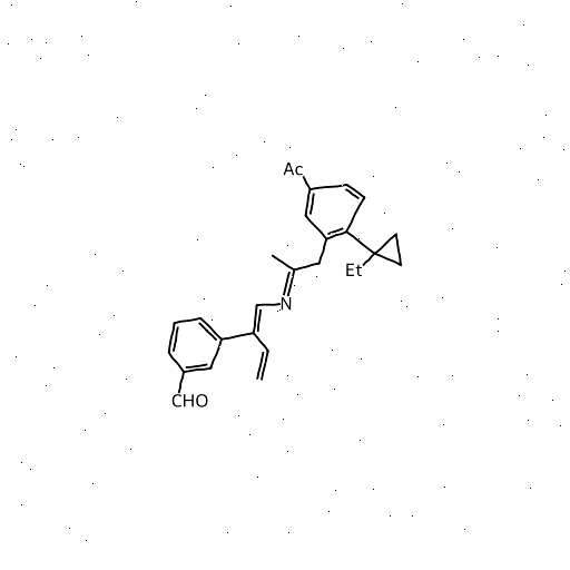 C=C/C(=C\N=C(/C)Cc1cc(C(C)=O)ccc1C1(CC)CC1)c1cccc(C=O)c1